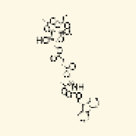 CCC(=O)OC1[C@@H](OC)OC(COC(=O)CCC(=O)OC[C@H](NC(=O)OCC2c3ccccc3-c3ccccc32)C(C)=O)[C@@H](O)[C@@H]1OC(=O)CC